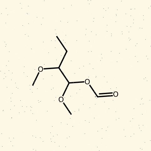 CCC(OC)C(OC)O[C]=O